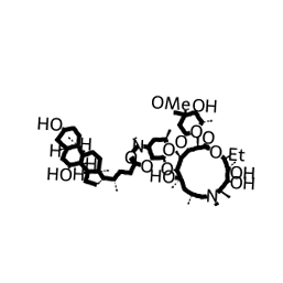 CC[C@H]1OC(=O)[C@H](C)[C@@H](O[C@H]2C[C@@](C)(OC)[C@@H](O)[C@H](C)O2)[C@H](C)[C@@H](O[C@@H]2O[C@H](C)CC(N(C)C)[C@H]2OC(=O)CC[C@H](C)[C@@H]2CC[C@@H]3[C@@H]4[C@@H](CC[C@]32C)[C@]2(C)CC[C@H](O)C[C@@H]2C[C@@H]4O)[C@](C)(O)C[C@@H](C)CN(C)[C@H](C)[C@@H](O)[C@]1(C)O